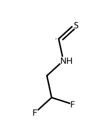 FC(F)CN[C]=S